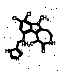 CC1C(=O)NCCc2c1c1c(NCc3cnc[nH]3)cc(Cl)c(Cl)c1n2C